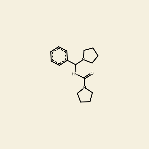 O=C(NC(c1ccccc1)N1CCCC1)N1CCCC1